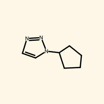 c1cn(C2CCCC2)nn1